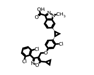 Cn1nc(C(=O)O)c2ccc([C@@H]3C[C@@H]3c3ccc(OCc4c(-c5c(Cl)cccc5Cl)noc4C4CC4)cc3Cl)cc21